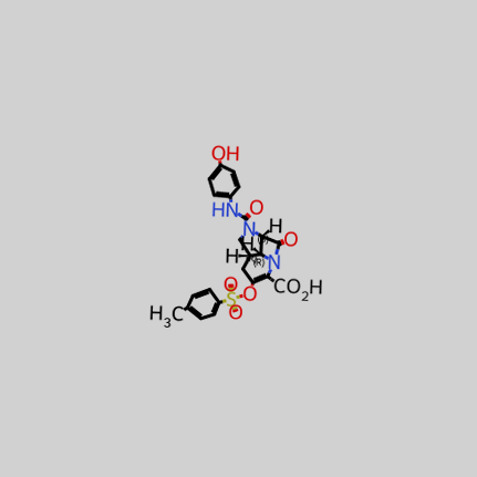 Cc1ccc(S(=O)(=O)OC2=C(C(=O)O)N3C(=O)[C@@H]4[C@H]3[C@H](C2)CN4C(=O)Nc2ccc(O)cc2)cc1